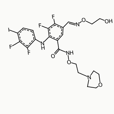 O=C(NOCCN1CCOCC1)c1cc(C=NOCCO)c(F)c(F)c1Nc1ccc(I)c(F)c1F